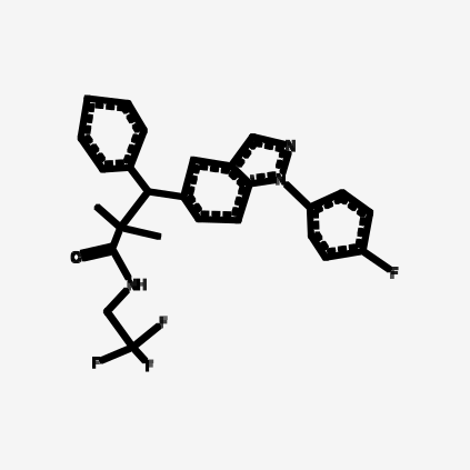 CC(C)(C(=O)NCC(F)(F)F)C(c1ccccc1)c1ccc2c(cnn2-c2ccc(F)cc2)c1